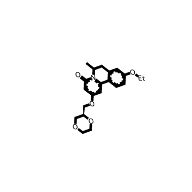 CCOc1ccc2c(c1)CC(C)n1c-2cc(OC[C@@H]2COCCO2)cc1=O